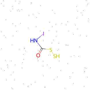 O=C(NI)SS